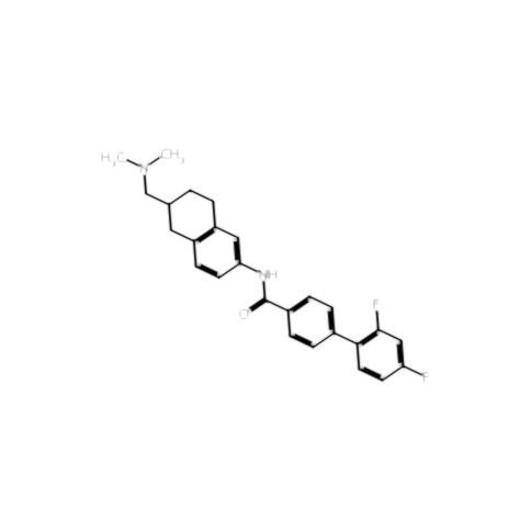 CN(C)CC1CCc2cc(NC(=O)c3ccc(-c4ccc(F)cc4F)cc3)ccc2C1